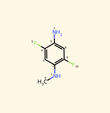 CNc1cc(F)c(N)cc1F